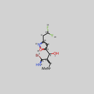 CN/C=C(\C(=N)Br)C(O)c1cc(CC(F)F)no1